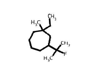 CCC1(C)CCCCC(C(C)(C)F)C1